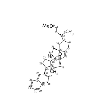 COCCN(C)C1CCC2=CC3=CC[C@]4(C)[C@@H](c5ccc6ccncc6c5)CC[C@H]4[C@@]34CC[C@]2(C1)O4